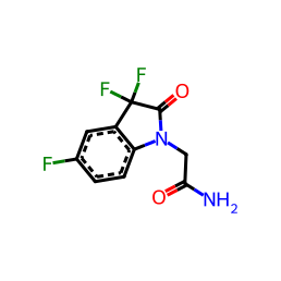 NC(=O)CN1C(=O)C(F)(F)c2cc(F)ccc21